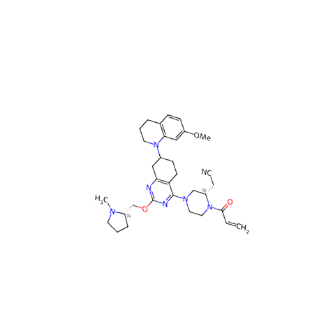 C=CC(=O)N1CCN(c2nc(OC[C@@H]3CCCN3C)nc3c2CCC(N2CCCc4ccc(OC)cc42)C3)C[C@@H]1CC#N